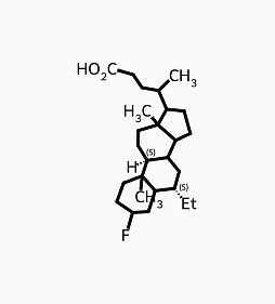 CC[C@H]1CC2C3CCC(C(C)CCC(=O)O)C3(C)CC[C@@H]2C2(C)CCC(F)CC12